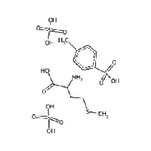 CSCCC(N)C(=O)O.Cc1ccc(S(=O)(=O)O)cc1.O=S(=O)(O)O.O=S(=O)(O)O